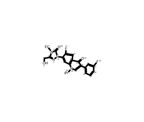 CCn1c(CO)nn(-c2cc3c(cc2F)c(=O)c(-c2cccc(F)c2)cn3C(C)C)c1=O